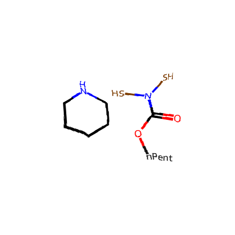 C1CCNCC1.CCCCCOC(=O)N(S)S